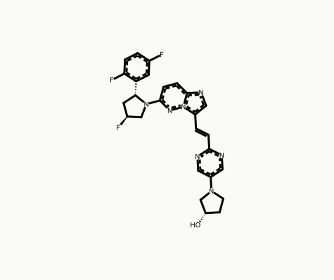 O[C@H]1CCN(c2cnc(/C=C/c3cnc4ccc(N5C[C@@H](F)C[C@@H]5c5cc(F)ccc5F)nn34)nc2)C1